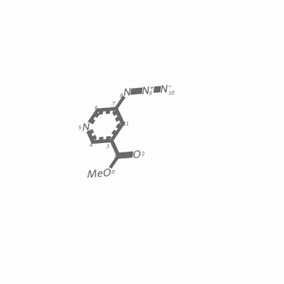 COC(=O)c1cncc(N=[N+]=[N-])c1